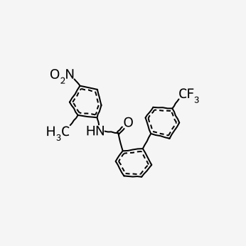 Cc1cc([N+](=O)[O-])ccc1NC(=O)c1ccccc1-c1ccc(C(F)(F)F)cc1